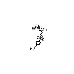 CC[Si](CC)(CC)O[C@@H](C)CCOS(=O)(=O)c1ccc(C)cc1